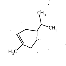 CC1=CCC(C(C)C)[CH]C1